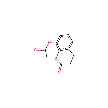 CC(=O)O.O=C1CCc2ccccc2O1